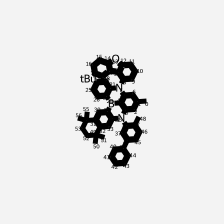 Cc1cc2c3c(c1)N(c1cccc4oc5ccccc5c14)c1cc(C(C)(C)C)ccc1B3c1cc3c(cc1N2c1cc(-c2ccccc2)ccc1C)C(C)(C)CCC3(C)C